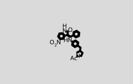 CC(=O)N1CCC(Cc2ccc(NC(=C3C(=O)Nc4ccc([N+](=O)[O-])cc43)c3ccccc3)cc2)C1